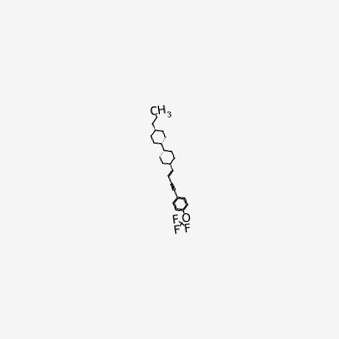 CCC[C@H]1CC[C@H]([C@H]2CC[C@H](C=CC#Cc3ccc(OC(F)(F)F)cc3)CC2)CC1